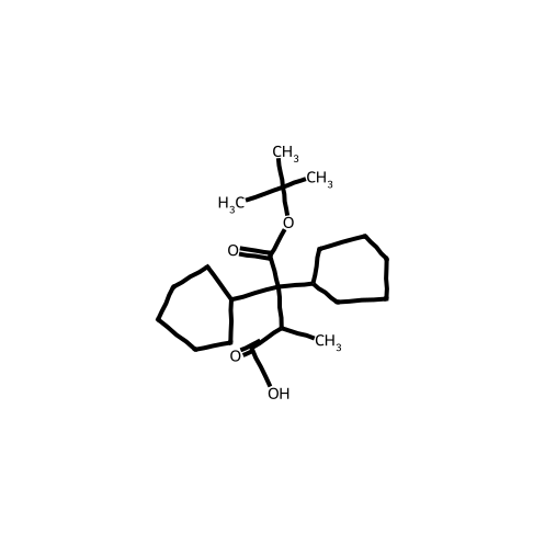 CC(C(=O)O)C(C(=O)OC(C)(C)C)(C1CCCCC1)C1CCCCC1